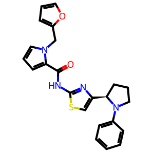 O=C(Nc1nc([C@H]2CCCN2c2ccccc2)cs1)c1cccn1Cc1ccco1